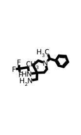 CC(c1ccccc1)N1CCC(CN)(NC(C)C(F)(F)F)CC1